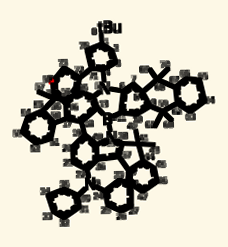 CC(C)(C)c1ccc(N2c3cc4c(cc3B3c5c2cc2c(c5-c5ccc(N(c6ccccc6)c6ccccc6)c6c7c(n3c56)C(C)(C)c3ccccc3-7)-c3ccccc3C2(C)C)C(C)(C)c2ccccc2C4(C)C)c(-c2ccccc2)c1